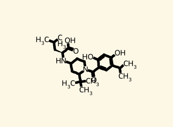 CC(C)C[C@H](NC1CCN(C(=O)c2cc(C(C)C)c(O)cc2O)C(C(C)(C)C)C1)C(=O)O